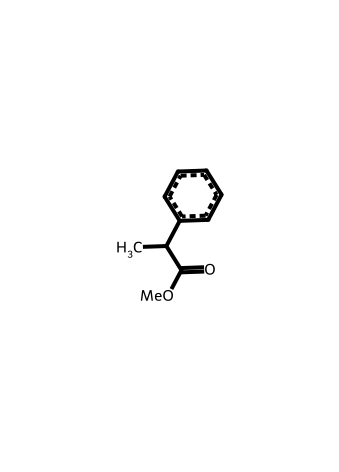 COC(=O)C(C)c1ccccc1